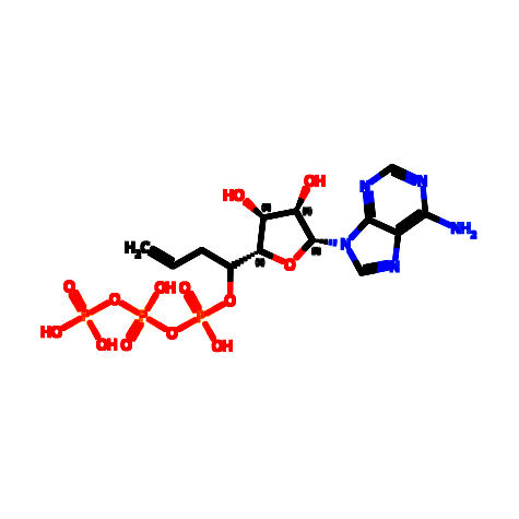 C=CCC(OP(=O)(O)OP(=O)(O)OP(=O)(O)O)[C@H]1O[C@@H](n2cnc3c(N)ncnc32)[C@H](O)[C@@H]1O